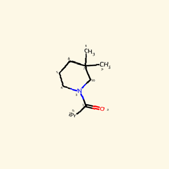 CC(C)C(=O)N1CCCC(C)(C)C1